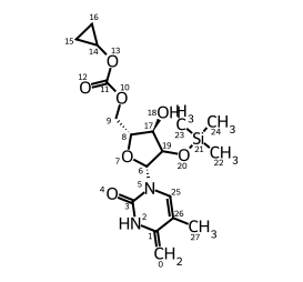 C=C1NC(=O)N([C@@H]2O[C@H](COC(=O)OC3CC3)[C@@H](O)C2O[Si](C)(C)C)C=C1C